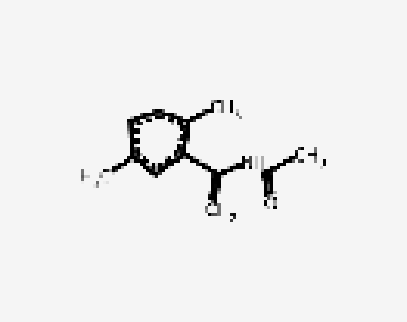 C=C(NC(C)=O)c1cc(C)ccc1C